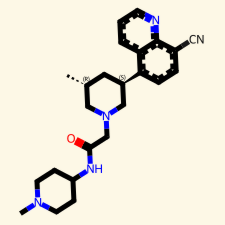 C[C@@H]1C[C@@H](c2ccc(C#N)c3ncccc23)CN(CC(=O)NC2CCN(C)CC2)C1